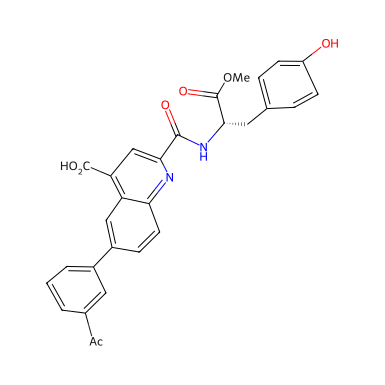 COC(=O)[C@H](Cc1ccc(O)cc1)NC(=O)c1cc(C(=O)O)c2cc(-c3cccc(C(C)=O)c3)ccc2n1